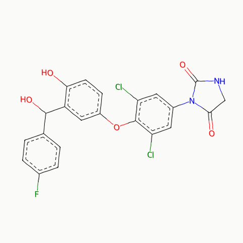 O=C1CNC(=O)N1c1cc(Cl)c(Oc2ccc(O)c(C(O)c3ccc(F)cc3)c2)c(Cl)c1